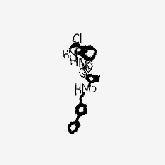 O=C(NCCc1ccc(-c2ccccc2)cc1)c1cccc(S(=O)(=O)Nc2cccc3c(Cl)c[nH]c23)c1